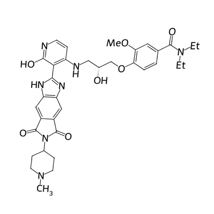 CCN(CC)C(=O)c1ccc(OC[C@H](O)CNc2ccnc(O)c2-c2nc3cc4c(cc3[nH]2)C(=O)N(C2CCN(C)CC2)C4=O)c(OC)c1